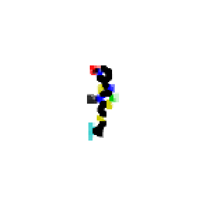 CCN(C(=S)CCSCC1CC1(F)F)c1sc(-c2ccc[n+]([O-])c2)nc1Cl